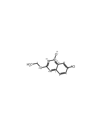 CCOc1nc2ccc(Cl)cc2[n+]([O-])n1